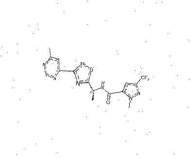 Cc1cc(-c2noc([C@H](C)NC(=O)c3cc(C(F)(F)F)nn3C)n2)ncn1